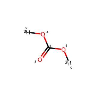 [2H]OC(=O)O[3H]